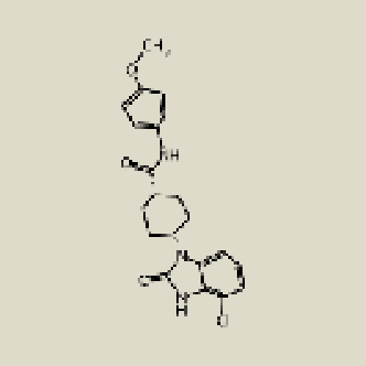 COc1ccc(NC(=O)[C@H]2CC[C@@H](n3c(=O)[nH]c4c(Cl)cccc43)CC2)cc1